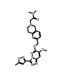 COc1cc2nnc(-c3cc(C)on3)n2nc1OCc1ccc2c(n1)CCN(CC(=O)N(C)C)C2